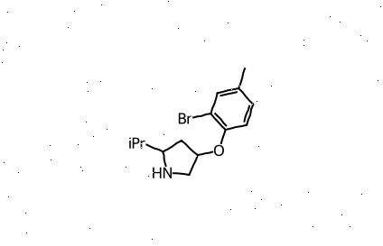 Cc1ccc(OC2CNC(C(C)C)C2)c(Br)c1